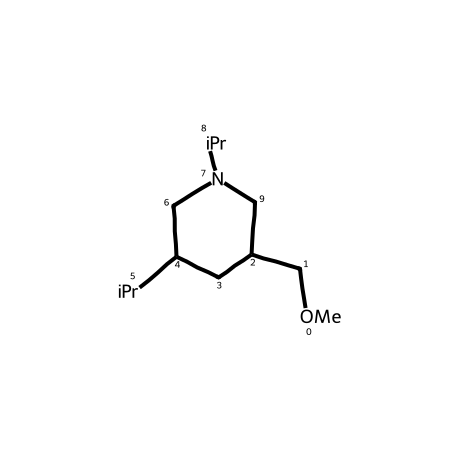 COCC1CC(C(C)C)CN(C(C)C)C1